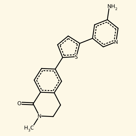 CN1CCc2cc(-c3ccc(-c4cncc(N)c4)s3)ccc2C1=O